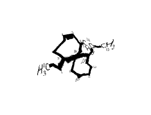 CCC1CC=CC(C)C12CCCCC2OC